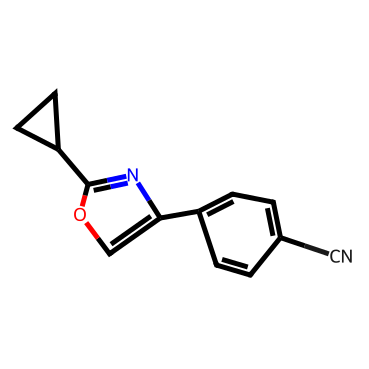 N#Cc1ccc(-c2coc(C3CC3)n2)cc1